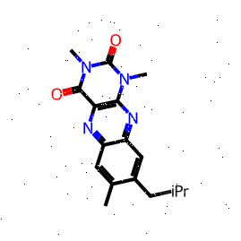 Cc1cc2nc3c(=O)n(C)c(=O)n(C)c3nc2cc1CC(C)C